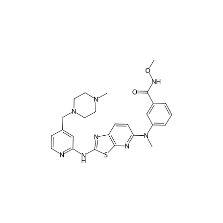 CONC(=O)c1cccc(N(C)c2ccc3nc(Nc4cc(CN5CCN(C)CC5)ccn4)sc3n2)c1